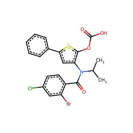 CC(C)N(C(=O)c1ccc(Cl)cc1Br)c1cc(-c2ccccc2)sc1OC(=O)O